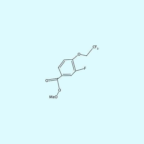 COOC(=O)c1ccc(OCC(F)(F)F)c(F)c1